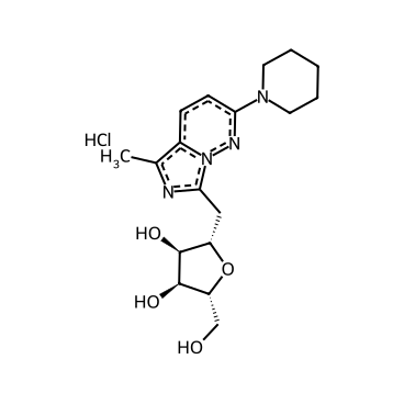 Cc1nc(C[C@@H]2O[C@H](CO)[C@@H](O)[C@H]2O)n2nc(N3CCCCC3)ccc12.Cl